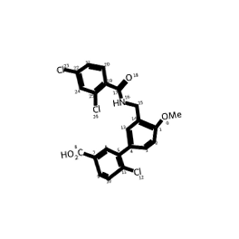 COc1ccc(-c2cc(C(=O)O)ccc2Cl)cc1CNC(=O)c1ccc(Cl)cc1Cl